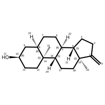 C=C1CC[C@H]2[C@@H]3CC[C@@H]4C[C@H](O)CC[C@]4(C)[C@H]3CC[C@]12C